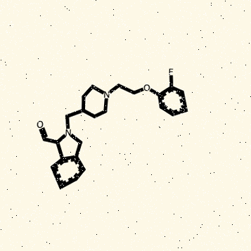 O=CC1c2ccccc2CN1CC1CCN(CCOc2ccccc2F)CC1